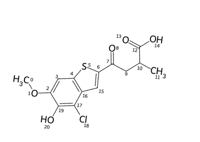 COc1cc2sc(C(=O)CC(C)C(=O)O)cc2c(Cl)c1O